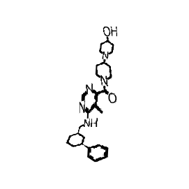 Cc1c(NC[C@@H]2CCC[C@H](c3ccccc3)C2)ncnc1C(=O)N1CCC(N2CCC(O)CC2)CC1